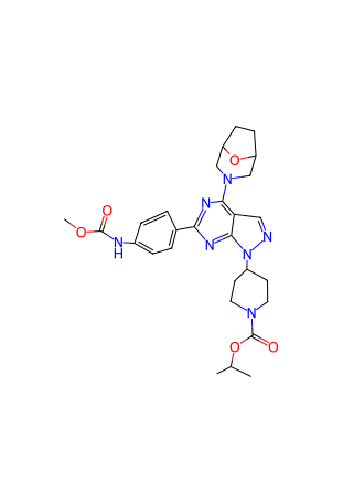 COC(=O)Nc1ccc(-c2nc(N3CC4CCC(C3)O4)c3cnn(C4CCN(C(=O)OC(C)C)CC4)c3n2)cc1